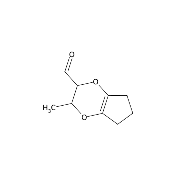 CC1OC2=C(CCC2)OC1C=O